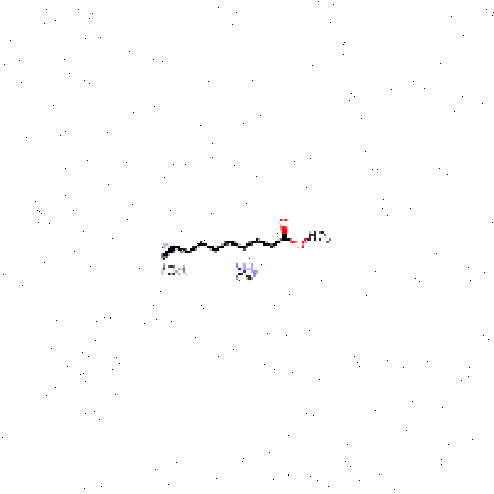 CCCCCCCC/C=C\CCCCCCCC(=O)O[N+](=O)[O-].N.[Ce]